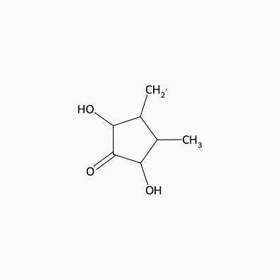 [CH2]C1C(O)C(=O)C(O)C1C